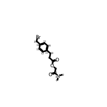 CN(C)C(=O)COC(=O)CCc1ccc(CBr)cc1